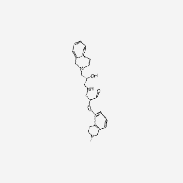 CN1CCc2c(cccc2OC(C=O)CNCC(O)CN2CCc3ccccc3C2)C1